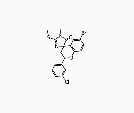 CSC1=NC2(CC(c3cccc(Cl)c3)Oc3ccc(Br)cc32)C(=O)N1C